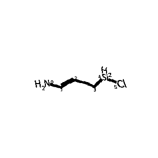 NC=CC[SiH2]Cl